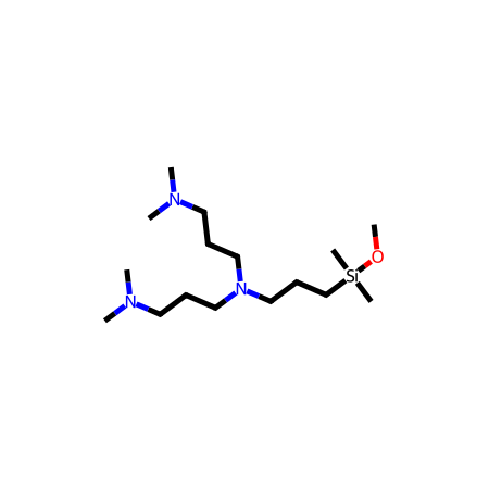 CO[Si](C)(C)CCCN(CCCN(C)C)CCCN(C)C